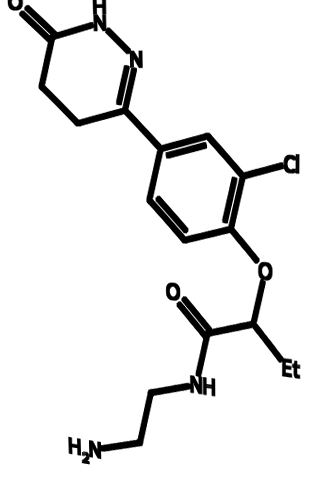 CCC(Oc1ccc(C2=NNC(=O)CC2)cc1Cl)C(=O)NCCN